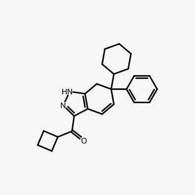 O=C(c1n[nH]c2c1C=CC(c1ccccc1)(C1CCCCC1)C2)C1CCC1